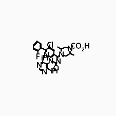 CC(C)c1ncnc(C(C)C)c1-n1c(=O)nc(N2CC(C)N(C(=O)O)CC2C)c2cc(Cl)c(-c3ccccc3F)nc21